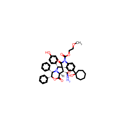 COCCOC(=O)N1C(=O)[C@@]2(c3cc(C4(O)CCCCCC4)ccc31)[C@H](C(N)=O)[C@H]1C(=O)O[C@H](c3ccccc3)[C@H](c3ccccc3)N1[C@@H]2c1ccc(O)cc1